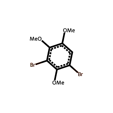 COc1cc(Br)c(OC)c(Br)c1OC